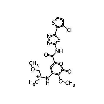 COC[C@@H](C)Nc1cc(C(=O)Nc2nnc(-c3sccc3Cl)s2)oc(=O)c1OC